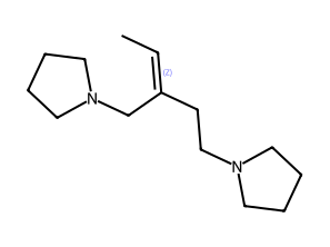 C/C=C(/CCN1CCCC1)CN1CCCC1